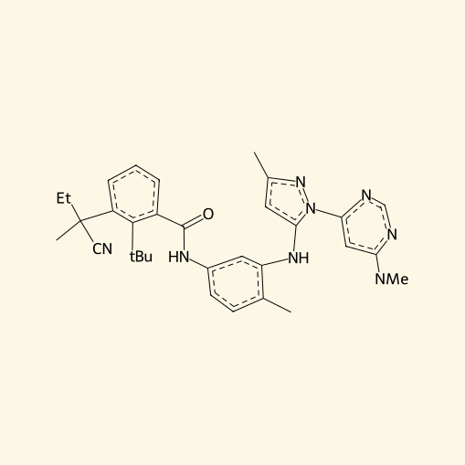 CCC(C)(C#N)c1cccc(C(=O)Nc2ccc(C)c(Nc3cc(C)nn3-c3cc(NC)ncn3)c2)c1C(C)(C)C